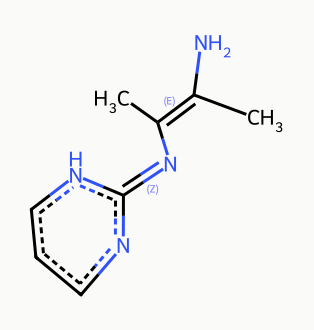 C/C(N)=C(C)\N=c1\nccc[nH]1